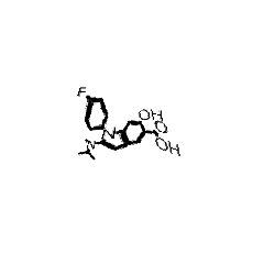 CC(C)N(C)c1cc2cc(C(=O)O)c(O)cc2n1-c1ccc(F)cc1